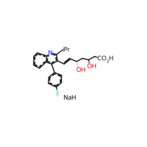 CC(C)c1nc2ccccc2c(-c2ccc(F)cc2)c1/C=C/[C@@H](O)CC(O)CC(=O)O.[NaH]